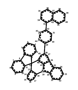 c1ccc2c(c1)-c1ccccc1C21c2ccccc2-n2c3ccccc3c3cc(-c4ccc(-c5cccc6ccccc56)nn4)cc1c32